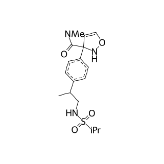 CNC(=O)C1(c2ccc(C(C)CNS(=O)(=O)C(C)C)cc2)C=CON1